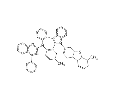 CC1C=CC2=C(C1)c1c(c3ccccc3n1C1=CCC3C(C1)SC1C(C)CC=CC31)-c1ccccc1N2c1nc(-c2ccccc2)c2ccccc2n1